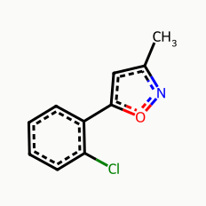 Cc1cc(-c2ccccc2Cl)on1